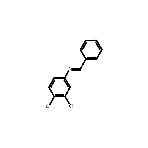 Clc1ccc(/N=C/c2ccccc2)cc1Cl